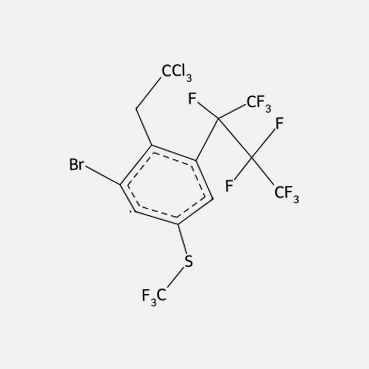 FC(F)(F)Sc1[c]c(Br)c(CC(Cl)(Cl)Cl)c(C(F)(C(F)(F)F)C(F)(F)C(F)(F)F)c1